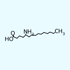 CCCCCCCCCCC(N)CCCC(=O)O